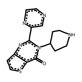 O=c1c2sccc2nc(-c2cnccn2)n1C1CCNCC1